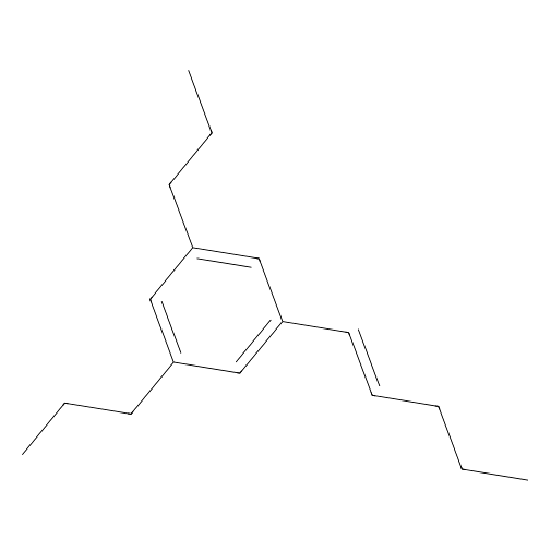 CCCC=Cc1cc(CCC)cc(CCC)c1